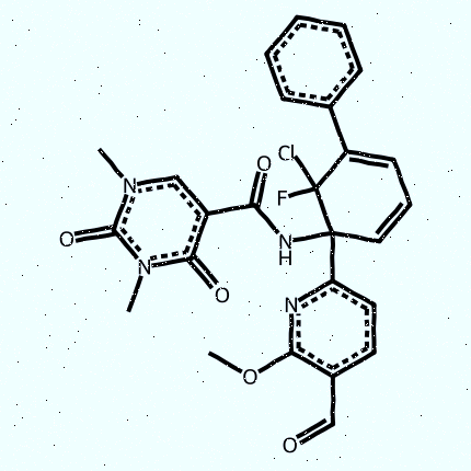 COc1nc(C2(NC(=O)c3cn(C)c(=O)n(C)c3=O)C=CC=C(c3ccccc3)C2(F)Cl)ccc1C=O